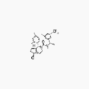 Cc1cc([C@@H](C)N(C)C(=O)N2CCN3C(=O)CC[C@H]3[C@@H]2c2ccc(C)cc2C)cc(C(F)(F)F)c1